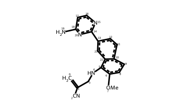 C=C(C#N)CNc1c(OC)ccc2ccc(-c3nccc(N)n3)cc12